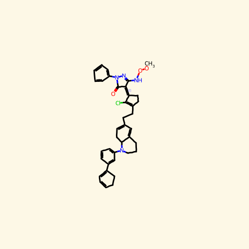 COONC1=NN(c2ccccc2)C(=O)/C1=C1/CCC(CCC2=CCC3C(=C2)CCCN3c2cccc(C3=CC=CCC3)c2)=C1Cl